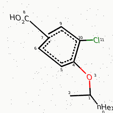 CCCCCCC(C)Oc1ccc(C(=O)O)cc1Cl